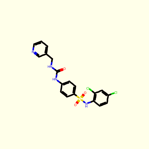 O=C(NCc1cccnc1)Nc1ccc(S(=O)(=O)Nc2ccc(Cl)cc2Cl)cc1